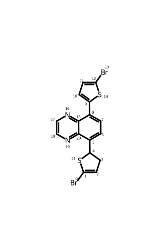 BrC1=CCC(c2ccc(-c3ccc(Br)s3)c3nccnc23)S1